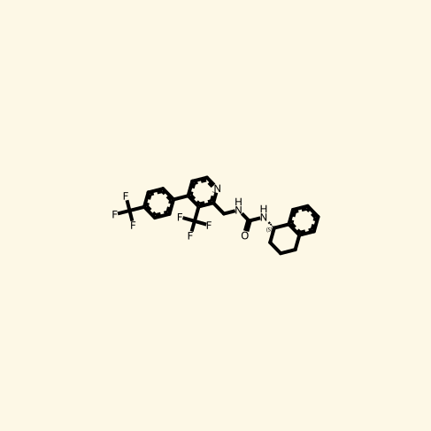 O=C(NCc1nccc(-c2ccc(C(F)(F)F)cc2)c1C(F)(F)F)N[C@H]1CCCc2ccccc21